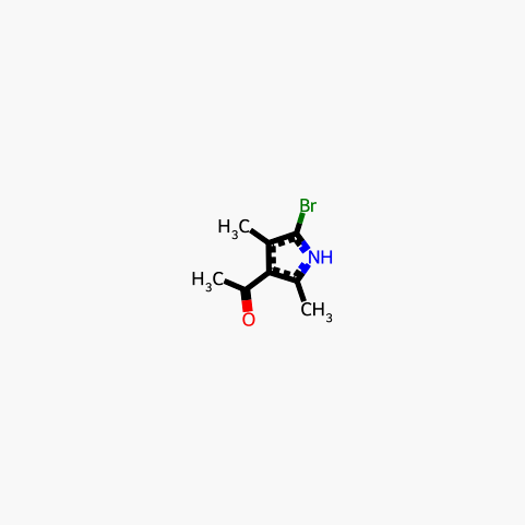 CC(=O)c1c(C)[nH]c(Br)c1C